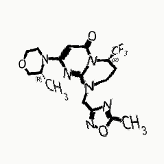 Cc1nc(CN2CC[C@H](C(F)(F)F)n3c2nc(N2CCOC[C@H]2C)cc3=O)no1